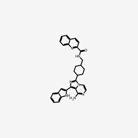 Nc1nccn2c(C3CCC(CNC(=O)c4ccc5ccccc5n4)CC3)nc(-c3cc4ccccc4[nH]3)c12